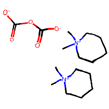 C[N+]1(C)CCCCC1.C[N+]1(C)CCCCC1.O=C([O-])OC(=O)[O-]